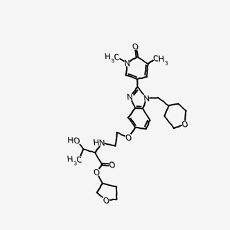 Cc1cc(-c2nc3cc(OCCNC(C(=O)OC4CCOC4)C(C)O)ccc3n2CC2CCOCC2)cn(C)c1=O